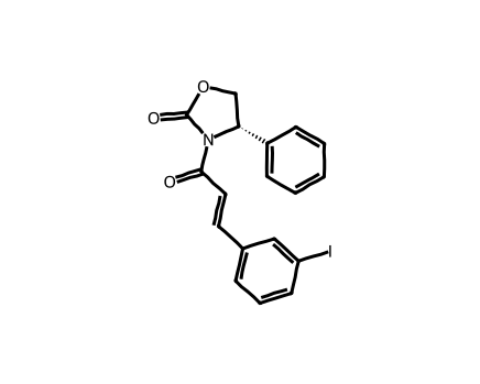 O=C(/C=C/c1cccc(I)c1)N1C(=O)OC[C@@H]1c1ccccc1